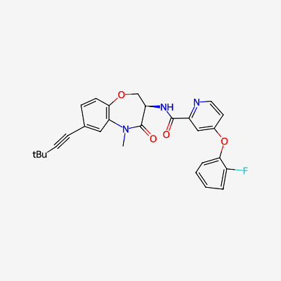 CN1C(=O)[C@H](NC(=O)c2cc(Oc3ccccc3F)ccn2)COc2ccc(C#CC(C)(C)C)cc21